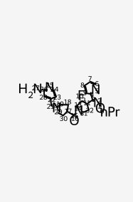 CCCON=C(c1ncccc1F)C1CCN(C(=O)C2CCN(Cc3ccnc(N)c3)CC2)CC1